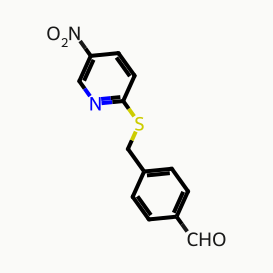 O=Cc1ccc(CSc2ccc([N+](=O)[O-])cn2)cc1